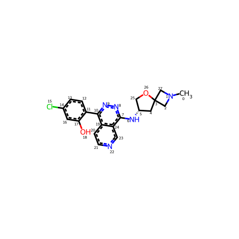 CN1CC2(C[C@H](Nc3nnc(-c4ccc(Cl)cc4O)c4ccncc34)CO2)C1